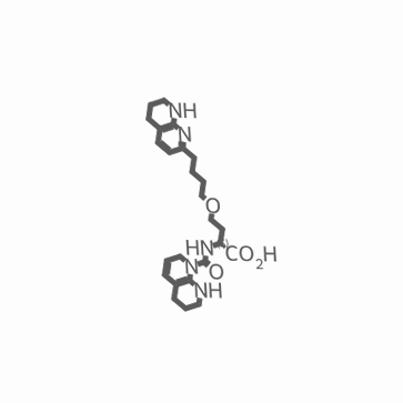 O=C(O)[C@H](CCOCCCCc1ccc2c(n1)NCCC2)NC(=O)N1CC=CC2=C1NCCC2